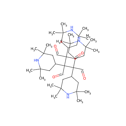 CC1(C)CC(C([C]=O)([C]=O)C([C]=O)(C2CC(C)(C)NC(C)(C)C2)C([C]=O)(C2CC(C)(C)NC(C)(C)C2)C2CC(C)(C)NC(C)(C)C2)CC(C)(C)N1